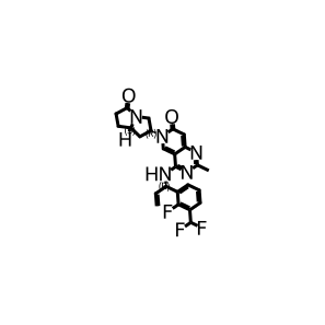 C=C[C@@H](Nc1nc(C)nc2cc(=O)n([C@@H]3C[C@@H]4CCC(=O)N4C3)cc12)c1cccc(C(F)F)c1F